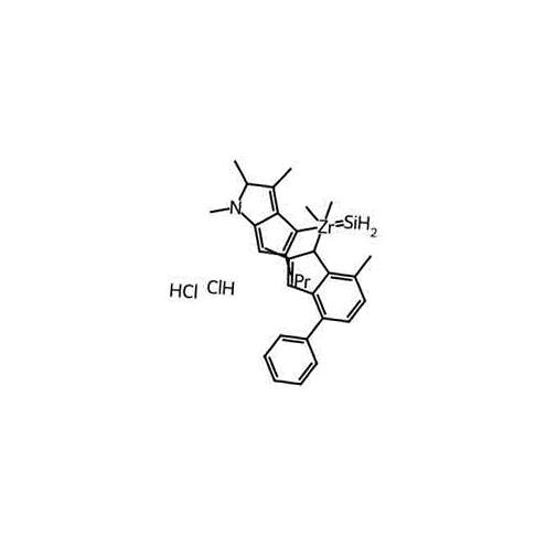 CC1=Cc2c(-c3ccccc3)ccc(C)c2[CH]1[Zr]([CH3])([CH3])(=[SiH2])[C]1=C(C(C)C)C=C2C1=C(C)C(C)N2C.Cl.Cl